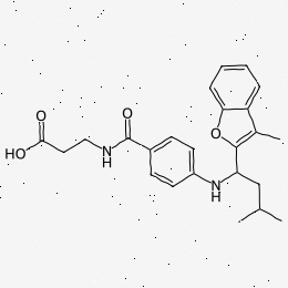 Cc1c(C(CC(C)C)Nc2ccc(C(=O)NCCC(=O)O)cc2)oc2ccccc12